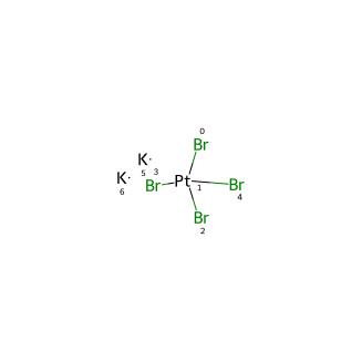 [Br][Pt]([Br])([Br])[Br].[K].[K]